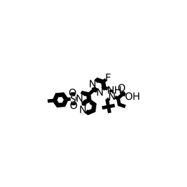 CCC(C(=O)O)N(CC(C)(C)C)Nc1nc(-c2cn(S(=O)(=O)c3ccc(C)cc3)c3ncccc23)ncc1F